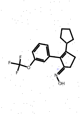 O/N=C1\CCC(C2CCCC2)=C1c1cccc(OC(F)(F)F)c1